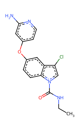 CCNC(=O)n1cc(Cl)c2cc(Oc3ccnc(N)c3)ccc21